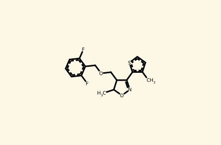 Cc1ccsc1C1=NOC(C)C1COCc1c(F)cccc1F